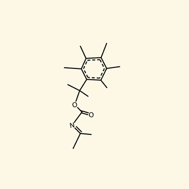 CC(C)=NC(=O)OC(C)(C)c1c(C)c(C)c(C)c(C)c1C